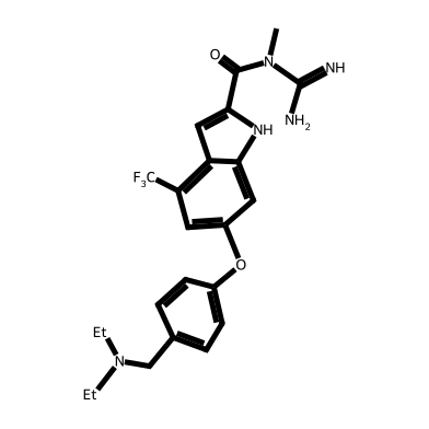 CCN(CC)Cc1ccc(Oc2cc(C(F)(F)F)c3cc(C(=O)N(C)C(=N)N)[nH]c3c2)cc1